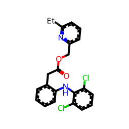 CCc1cccc(COC(=O)Cc2ccccc2Nc2c(Cl)cccc2Cl)n1